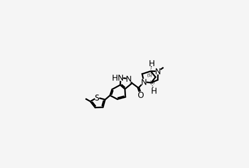 Cc1ccc(-c2ccc3c(C(=O)N4C[C@@H]5C[C@H]4CN5C)n[nH]c3c2)s1